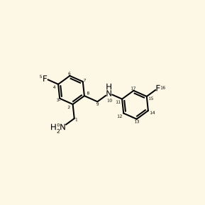 NCc1[c]c(F)ccc1CNc1cccc(F)c1